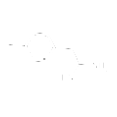 Cc1ccc(CC(N)N)cc1